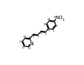 O=[N+]([O-])c1ccc(C=CC=Cc2ccccn2)cc1